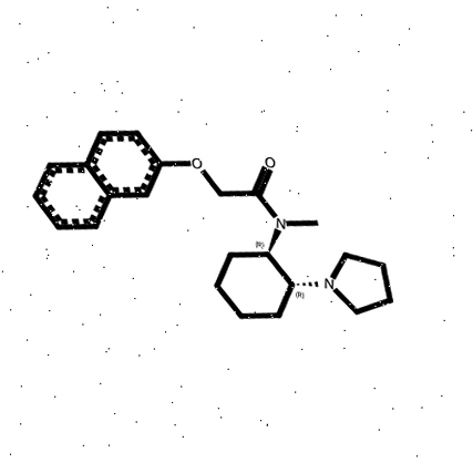 CN(C(=O)COc1ccc2ccccc2c1)[C@@H]1CCCC[C@H]1N1CCCC1